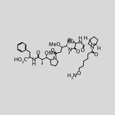 CC[C@H](C)[C@@H]([C@@H](CC(=O)N1CCCC1[C@H](OC)[C@@H](C)C(=O)NC(Cc1ccccc1)C(=O)O)OC)N(C)C(=O)C(NC(=O)[C@@H]1[C@H]2CC[C@H](C2)N1C(=O)CCCCCON)C(C)C